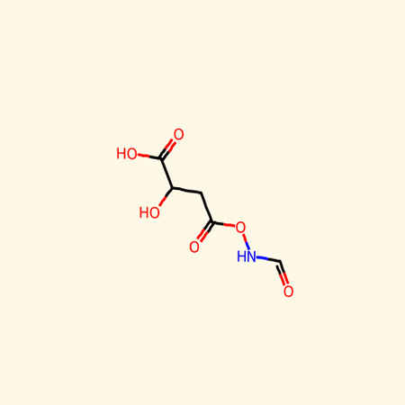 O=CNOC(=O)CC(O)C(=O)O